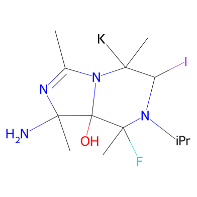 CC1=NC(C)(N)C2(O)N1[C](C)([K])C(I)N(C(C)C)C2(C)F